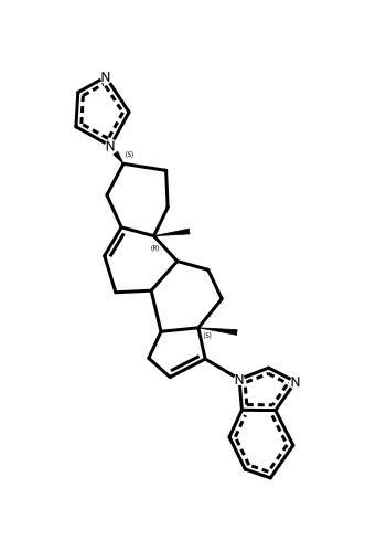 C[C@]12CC[C@H](n3ccnc3)CC1=CCC1C2CC[C@]2(C)C(n3cnc4ccccc43)=CCC12